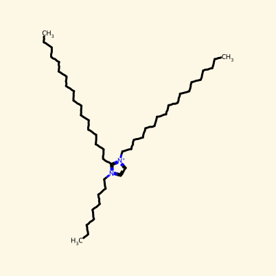 CCCCCCCCCCCCCCCCCCc1n(CCCCCCCCC)cc[n+]1CCCCCCCCCCCCCCCCCC